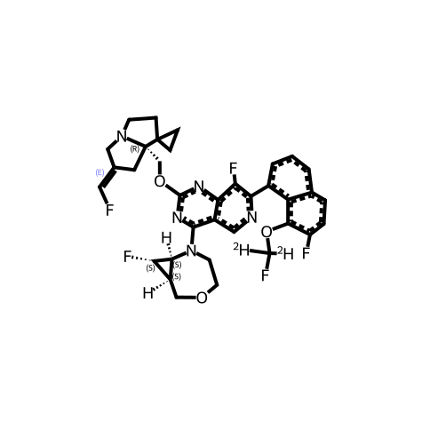 [2H]C([2H])(F)Oc1c(F)ccc2cccc(-c3ncc4c(N5CCOC[C@H]6[C@H](F)[C@H]65)nc(OC[C@]56C/C(=C\F)CN5CCC65CC5)nc4c3F)c12